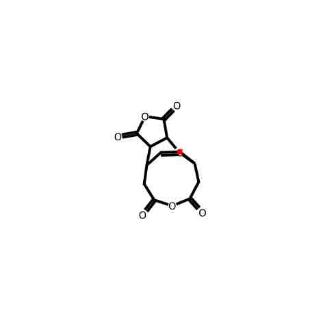 O=C1CC2C=CC(CC(=O)O1)C1C(=O)OC(=O)C1C2